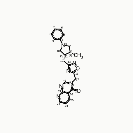 C[C@H]1CN(c2ccccc2)C[C@H]1Cc1noc(Cn2cnc3ncccc3c2=O)n1